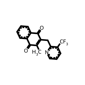 CC1=C(Cc2ncccc2C(F)(F)F)C(=O)c2ccccc2C1=O